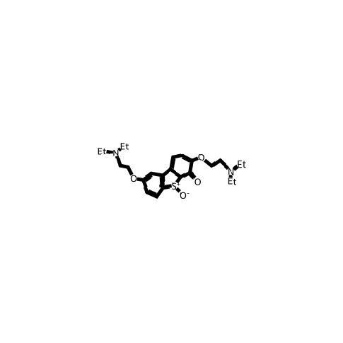 CCN(CC)CCOC1=CC=C2c3cc(OCCN(CC)CC)ccc3[S+]([O-])C2C1=O